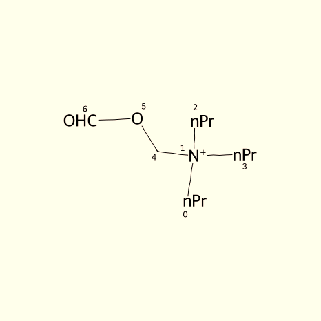 CCC[N+](CCC)(CCC)COC=O